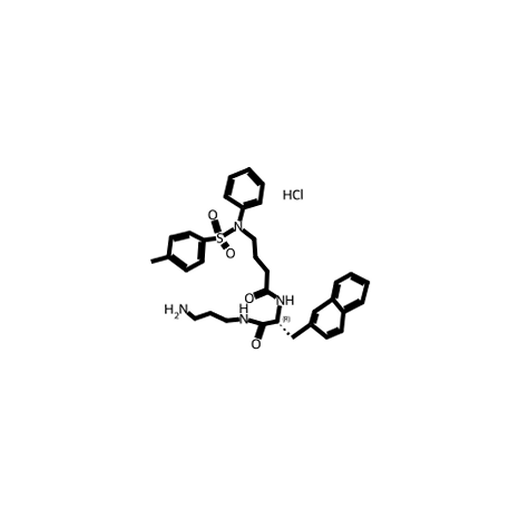 Cc1ccc(S(=O)(=O)N(CCCC(=O)N[C@H](Cc2ccc3ccccc3c2)C(=O)NCCCN)c2ccccc2)cc1.Cl